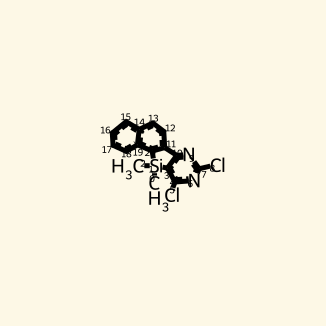 C[Si]1(C)c2c(Cl)nc(Cl)nc2-c2ccc3ccccc3c21